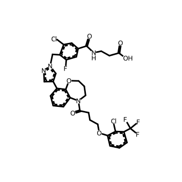 O=C(O)CCNC(=O)c1cc(F)c(Cn2cc(-c3cccc4c3OCCCN4C(=O)CCCOc3cccc(C(F)(F)F)c3Cl)cn2)c(Cl)c1